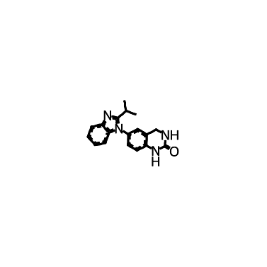 CC(C)c1nc2ccccc2n1-c1ccc2c(c1)CNC(=O)N2